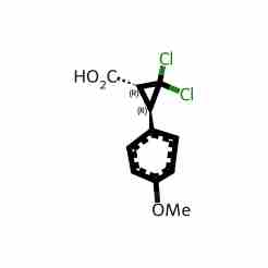 COc1ccc([C@H]2[C@H](C(=O)O)C2(Cl)Cl)cc1